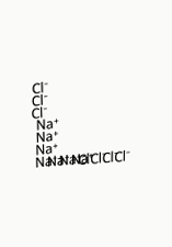 [Cl-].[Cl-].[Cl-].[Cl-].[Cl-].[Cl-].[Cl-].[Na+].[Na+].[Na+].[Na+].[Na+].[Na+].[Na+]